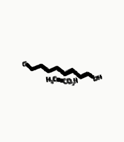 CC(=O)O.OCCCCCCCCCl